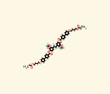 C=CC(=O)OCCCCOc1ccc(-c2ccc(C(=O)Oc3ccc(/C(F)=C(\F)c4ccc(OC(=O)c5ccc(-c6ccc(OCCCCOC(=O)C=C)cc6)cc5)c5c4OC(F)(F)O5)c4c3OC(F)(F)O4)cc2)cc1